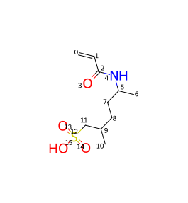 C=CC(=O)NC(C)CCC(C)CS(=O)(=O)O